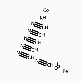 C#N.C#N.C#N.C#N.C#N.C#N.O.[Co].[Fe].[KH]